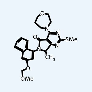 COCOc1cc(N2C(=O)c3c(nc(SC)nc3N3CCCOCC3)C2C)c2ccccc2c1